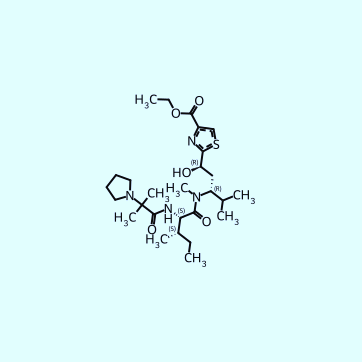 CCOC(=O)c1csc([C@H](O)C[C@H](C(C)C)N(C)C(=O)[C@@H](NC(=O)C(C)(C)N2CCCC2)[C@@H](C)CC)n1